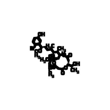 CO[C@@H](CC[C@H](C)[C@H]1O[C@]23C[C@H](OC(=O)C[C@H]([C@@H](C)O)OC(=O)C[C@](O)(O2)[C@H](C)CC3(C)C)[C@@H]1C)c1cc(O)ccc1Br